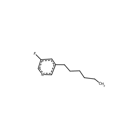 CCCCCCc1cncc(F)c1